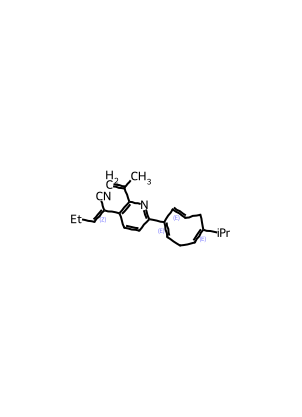 C=C(C)c1nc(C2=C/C/C=C(/C(C)C)C\C=C\2)ccc1/C(C#N)=C/CC